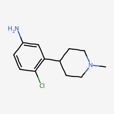 CN1CCC(c2cc(N)ccc2Cl)CC1